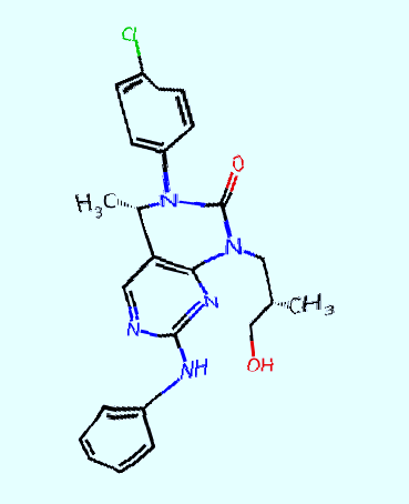 C[C@H](CO)CN1C(=O)N(c2ccc(Cl)cc2)[C@@H](C)c2cnc(Nc3ccccc3)nc21